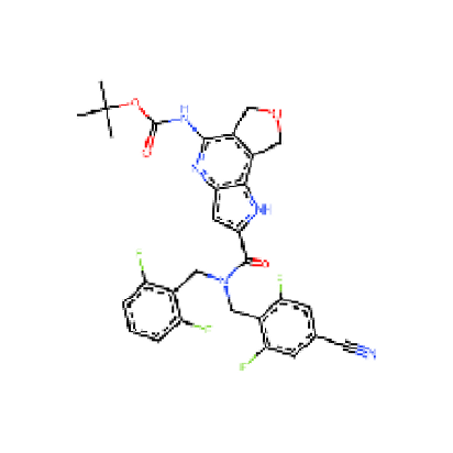 CC(C)(C)OC(=O)Nc1nc2cc(C(=O)N(Cc3c(F)cccc3F)Cc3c(F)cc(C#N)cc3F)[nH]c2c2c1COC2